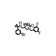 O=C(O)N(Cc1cc(F)cc(F)c1)CC(O)CNC1(c2cccc(Br)c2)CC1